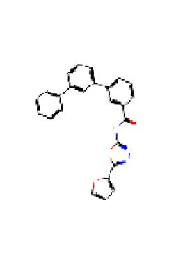 O=C(Nc1nnc(-c2ccco2)o1)c1cccc(-c2cccc(-c3ccccc3)c2)c1